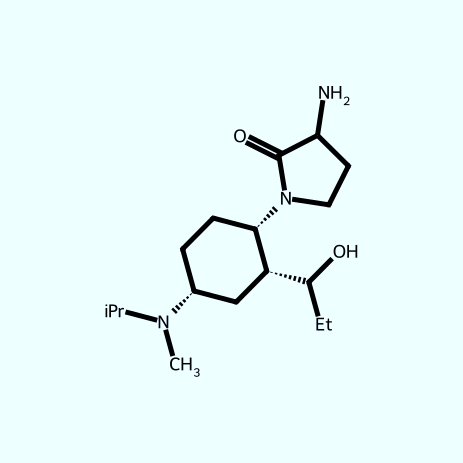 CCC(O)[C@@H]1C[C@H](N(C)C(C)C)CC[C@@H]1N1CCC(N)C1=O